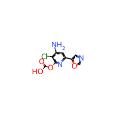 Nc1cc(-c2cnco2)nc(OC(=O)O)c1Cl